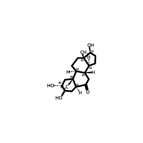 C[C@]12C[C@@H](O)C(O)C[C@@H]1C(=O)C[C@@H]1[C@@H]2CC[C@]2(C)[C@@H](O)CC[C@@H]12